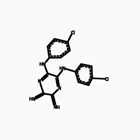 N=C1N=C(Nc2ccc(Cl)cc2)C(Nc2ccc(Cl)cc2)=NC1=N